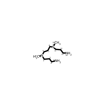 CN(CCCN)CCCN(C)CCCN